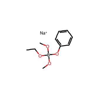 CCO[B-](OC)(OC)Oc1ccccc1.[Na+]